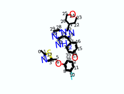 Cc1ncc(COc2cc(F)cc(Oc3ccc(-c4nc(C5CCOCC5)n5ccnc(N)c45)cc3)c2)s1